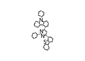 c1ccc(-c2nc(-c3cccc4c3sc3ccccc34)cc(-c3cccc4c3c3ccccc3n4-c3ccccc3)n2)cc1